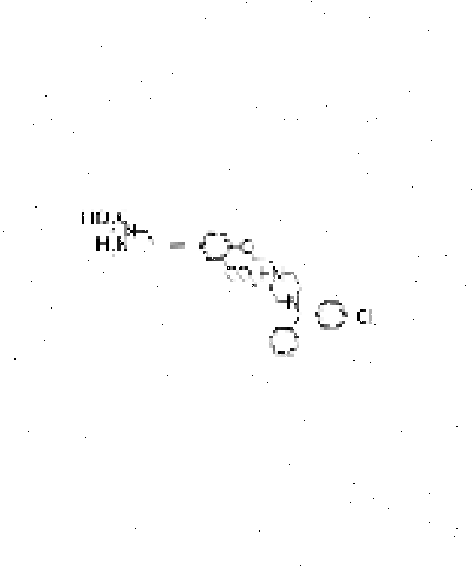 NN(CCC#Cc1ccc(OCCN2CCN(C(c3ccccc3)c3ccc(Cl)cc3)CC2)c(C(=O)O)c1)C(=O)O